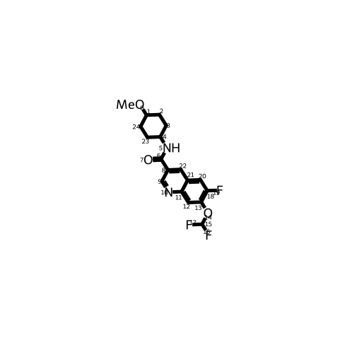 COC1CCC(NC(=O)c2cnc3cc(OC(F)F)c(F)cc3c2)CC1